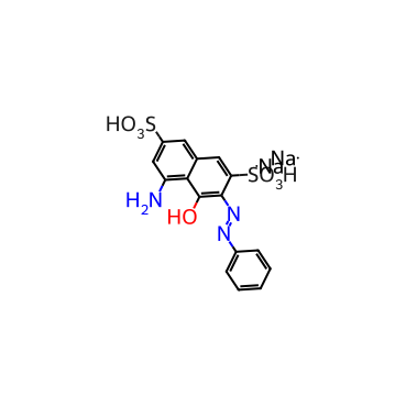 Nc1cc(S(=O)(=O)O)cc2cc(S(=O)(=O)O)c(N=Nc3ccccc3)c(O)c12.[Na].[Na]